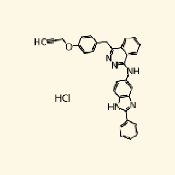 C#CCOc1ccc(Cc2nnc(Nc3ccc4[nH]c(-c5ccccc5)nc4c3)c3ccccc23)cc1.Cl